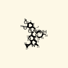 COc1ccc([C@H](C)NC(=O)c2cnc3c(C4CC4)nc(C)cc3c2N2CCN[C@@H](C)CC2)cc1OC